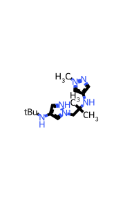 Cn1cc(NC(C)(C)C[n+]2cc(NC(C)(C)C)c[nH]2)cn1